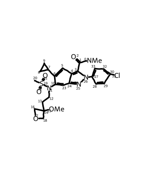 CNC(=O)c1c2cc(C3CC3)c(N(CCC3(OC)COC3)S(C)(=O)=O)cc2nn1-c1ccc(Cl)cc1